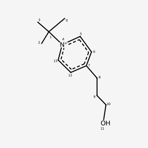 CC(C)(C)[n+]1ccc(CCCO)cc1